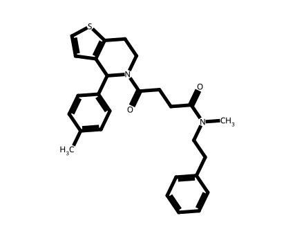 Cc1ccc(C2c3ccsc3CCN2C(=O)CCC(=O)N(C)CCc2ccccc2)cc1